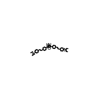 CCN(CC)c1ccc(C=Cc2ccc(-c3nnc(-c4ccc(C=Cc5ccc(N(CC)CC)cc5)cc4)o3)cc2)cc1